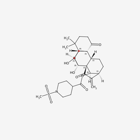 C=C1C(=O)[C@]23[C@H](OC(=O)C4CCN(S(C)(=O)=O)CC4)[C@H]1CC[C@H]2[C@@]12CO[C@@]3(O)[C@@H](O)[C@@H]1C(C)(C)CCC2=O